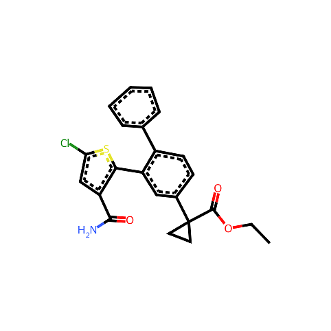 CCOC(=O)C1(c2ccc(-c3ccccc3)c(-c3sc(Cl)cc3C(N)=O)c2)CC1